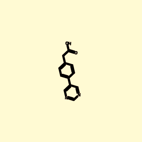 O=C(O)Cc1ccc(-c2cncnc2)cc1